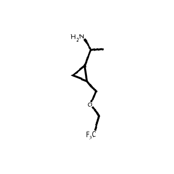 CC(N)C1CC1COCC(F)(F)F